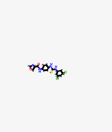 O=C(Nc1ccc(NC(=S)Nc2cc(Cl)cc(Cl)c2)cc1)c1cocn1